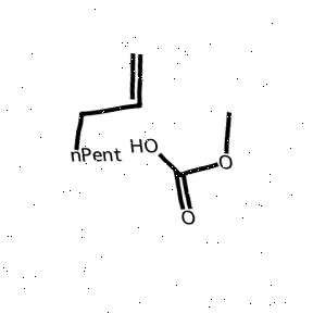 C=CCCCCCC.COC(=O)O